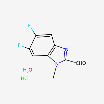 Cl.Cn1c(C=O)nc2cc(F)c(F)cc21.O